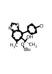 Cc1cc2ncsc2c(-c2ccc(Cl)cc2)c1[C@@](C)(O)OC(C)(C)C